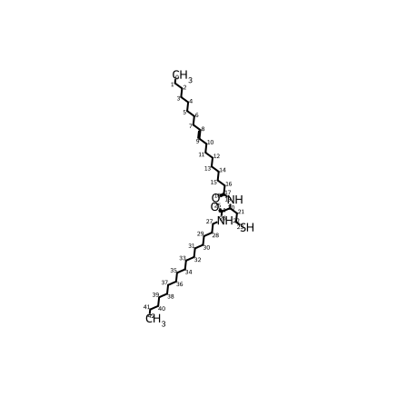 CCCCCCCC/C=C/CCCCCCCC(=O)NC(CCS)C(=O)NCCCCCCCCCCCCCCCC